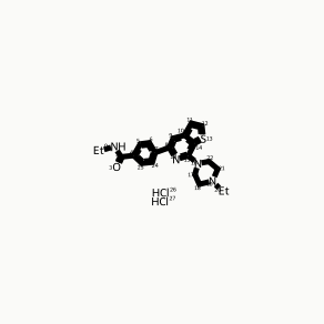 CCNC(=O)c1ccc(-c2cc3ccsc3c(N3CCN(CC)CC3)n2)cc1.Cl.Cl